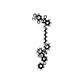 Nc1ncnc2c1c(-c1ccc(Oc3ccccc3)cc1)nn2[C@@H]1CCCN(CCCCCCCCSc2cccc3c2CN(C2CCC(=O)NC2=O)C3=O)C1